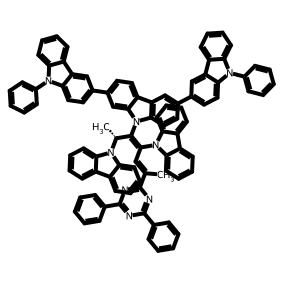 C/C(=C\C(=C(/[C@@H](C)n1c2ccccc2c2ccccc21)n1c2ccc(-c3ccc4c(c3)c3ccccc3n4-c3ccccc3)cc2c2ccc(-c3ccc4c(c3)c3ccccc3n4-c3ccccc3)cc21)n1c2ccccc2c2ccccc21)c1nc(-c2ccccc2)nc(-c2ccccc2)n1